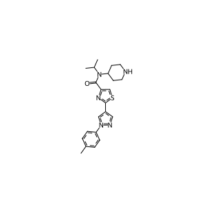 Cc1ccc(-n2cc(-c3nc(C(=O)N(C(C)C)C4CCNCC4)cs3)cn2)cc1